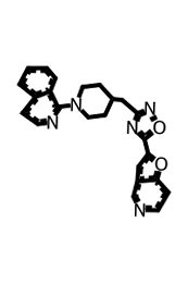 c1ccc2c(N3CCC(Cc4noc(-c5cc6cnccc6o5)n4)CC3)nccc2c1